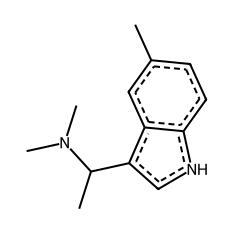 Cc1ccc2[nH]cc(C(C)N(C)C)c2c1